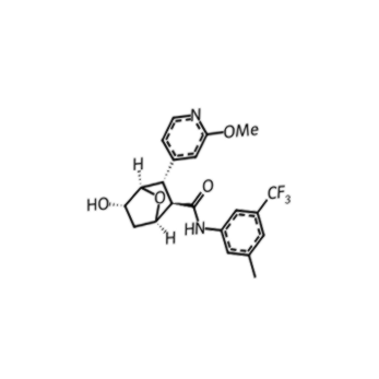 COc1cc([C@H]2[C@H]3O[C@H](C[C@@H]3O)[C@@H]2C(=O)Nc2cc(C)cc(C(F)(F)F)c2)ccn1